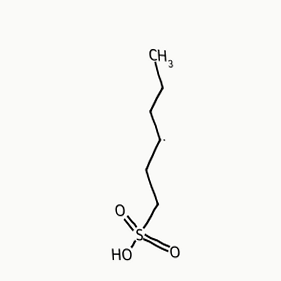 CCC[CH]CCS(=O)(=O)O